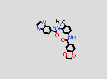 Cc1ccc(NC(=O)c2ccc3c(c2)OCCO3)cc1NC(=O)c1ccc2nccnc2c1